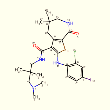 CN(C)CC(C)(C)CNC(=O)c1c(Nc2ccc(I)cc2F)sc2c1CC(C)(C)CNC2=O